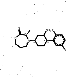 C[C@@H]1C(=O)NCCCN1[C@@H]1CC[C@H](c2cc(F)ccc2F)C(N)C1